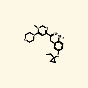 CCC1(Oc2ccc(N)c(CC(=N)C3=NCN(C)C(N4CCOCC4)=C3)c2)CC1